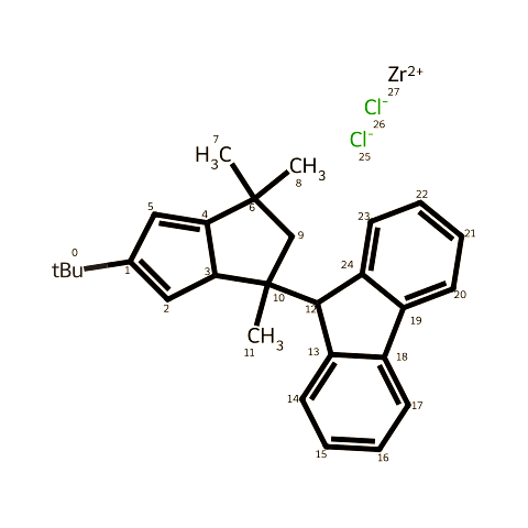 CC(C)(C)C1=CC2C(=C1)C(C)(C)CC2(C)C1c2ccccc2-c2ccccc21.[Cl-].[Cl-].[Zr+2]